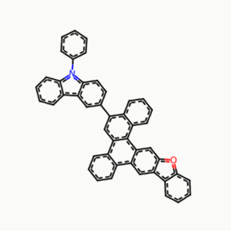 c1ccc(-n2c3ccccc3c3cc(-c4cc5c6ccccc6c6cc7c(cc6c5c5ccccc45)oc4ccccc47)ccc32)cc1